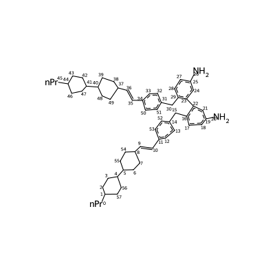 CCCC1CCC(C2CCC(/C=C/c3ccc(Cc4ccc(N)cc4-c4cc(N)ccc4Cc4ccc(/C=C/C5CCC(C6CCC(CCC)CC6)CC5)cc4)cc3)CC2)CC1